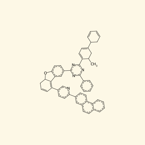 CC1CC(C2C=CC=CC2)=CC=C1c1nc(-c2ccccc2)nc(-c2ccc3c(c2)C2=C(c4ccc(-c5ccc6c(ccc7ccccc76)c5)nc4)C=CCC2O3)n1